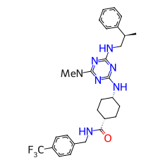 CNc1nc(NC[C@H](C)c2ccccc2)nc(N[C@H]2CC[C@@H](C(=O)NCc3ccc(C(F)(F)F)cc3)CC2)n1